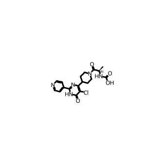 C[C@@H](NC(=O)O)C(=O)N1CCC(c2nc(-c3ccncc3)[nH]c(=O)c2Cl)CC1